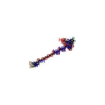 CCC1(O)C(=O)OCc2c1cc1n(c2=O)Cc2c-1nc1cc(F)c(C)c3c1c2[C@H](NC(=O)[C@@H]1COCCN1C(=O)CNC(=O)CNC(=O)CNC(=O)CNC(=O)CNC(=O)CCOCCOCCOCCOCCNC(=O)c1ccc2nc(CBr)c(CBr)nc2c1)CC3